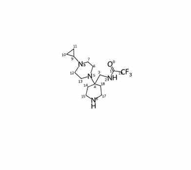 O=C(NCC1(N2CCN(C3CC3)CC2)CCNCC1)C(F)(F)F